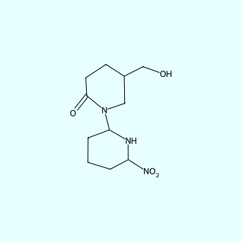 O=C1CCC(CO)CN1C1CCCC([N+](=O)[O-])N1